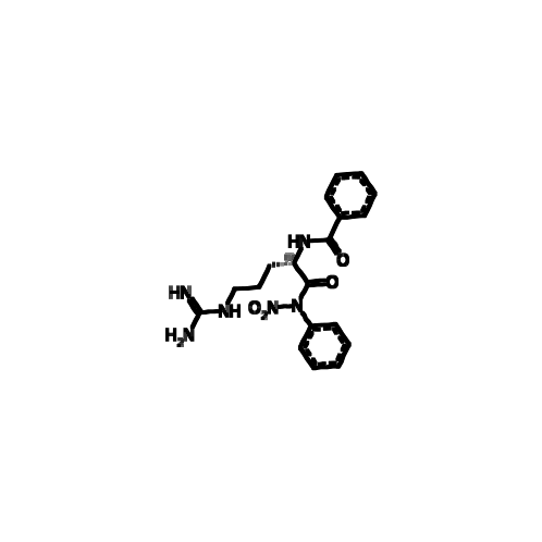 N=C(N)NCCC[C@H](NC(=O)c1ccccc1)C(=O)N(c1ccccc1)[N+](=O)[O-]